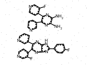 Fc1ccc(-c2nc3nc(-c4ccncc4F)c(-c4cccnc4)nc3[nH]2)cc1.Nc1nc(-c2cccnc2)c(-c2ccncc2F)nc1N